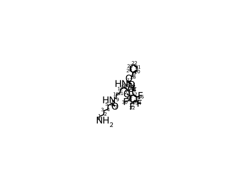 NCCCCCC(=O)NCCCCC(NC(=O)OCc1ccccc1)C(=O)Oc1c(F)c(F)c(F)c(F)c1F